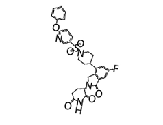 O=C1CCC(N2Cc3c(cc(F)cc3C3CCN(S(=O)(=O)c4ccc(Oc5ccccc5)nc4)CC3)C2=O)C(=O)N1